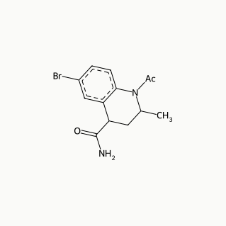 CC(=O)N1c2ccc(Br)cc2C(C(N)=O)CC1C